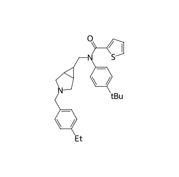 CCc1ccc(CN2CC3C(C2)C3CN(C(=O)c2cccs2)c2ccc(C(C)(C)C)cc2)cc1